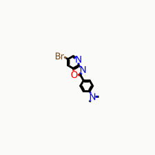 CN(C)c1ccc(-c2nc3ncc(Br)cc3o2)cc1